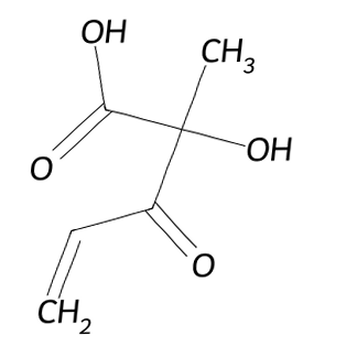 C=CC(=O)C(C)(O)C(=O)O